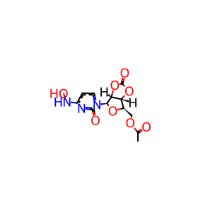 CC(=O)OC[C@H]1O[C@@H](n2ccc(NO)nc2=O)[C@@H]2OC(=O)O[C@@H]21